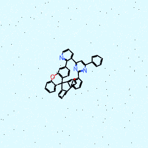 c1ccc(-c2cc(-c3cccnc3-c3ccc4c(c3)Oc3ccccc3C43c4ccccc4-c4ccccc43)nc(-c3ccccc3)n2)cc1